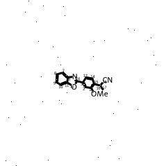 COc1cc(-c2nc3ccccc3o2)ccc1C(C)C#N